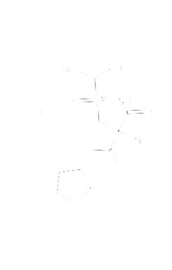 CCCC(CCC)S(=O)(=O)CC(N)(C(N)=O)C(=O)O[C@H]1CCOC1.Cl